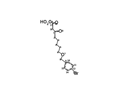 O=C(CCCCCOCc1ccc(Br)cc1)CC(=O)C(=O)O